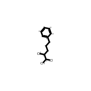 Cl[C](Cl)C(Cl)CCCc1ccccc1